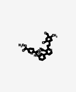 COC(=O)c1ccc(C(=O)Nc2cccc(-c3ccnc(C=Cc4cc(C)c(C=O)cc4Cl)c3C#N)c2C)nc1